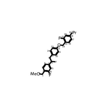 COCc1ccc(C(C)Cc2ccc(OCc3ccc(C(C)C)cc3F)cc2)cc1F